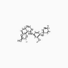 COc1cc(Nc2ncnc3cccc(O[C@H](C)C(=O)O)c23)ccc1Oc1ccc(C)nc1